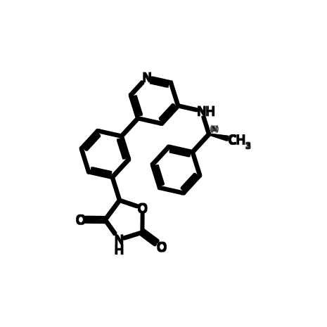 C[C@H](Nc1cncc(-c2cccc(C3OC(=O)NC3=O)c2)c1)c1ccccc1